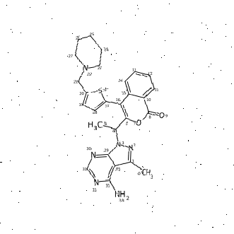 Cc1nn(C(C)c2oc(=O)c3ccccc3c2-c2ccc(CN3CCCCC3)s2)c2ncnc(N)c12